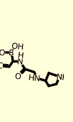 C=CC(NC(=O)CNC1CCNC1)B(O)O